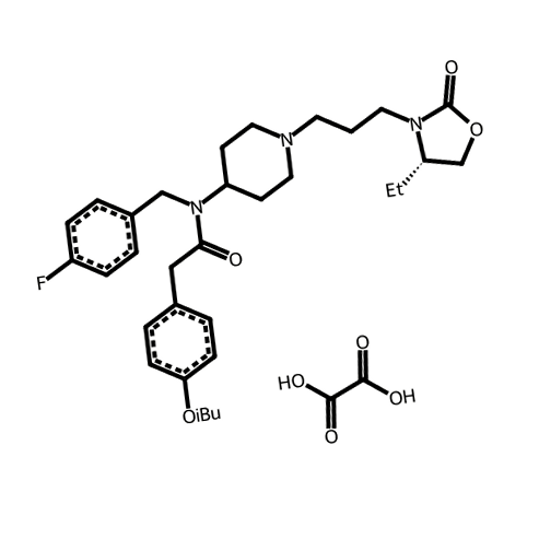 CC[C@H]1COC(=O)N1CCCN1CCC(N(Cc2ccc(F)cc2)C(=O)Cc2ccc(OCC(C)C)cc2)CC1.O=C(O)C(=O)O